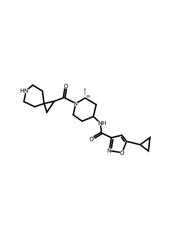 C[C@@H]1CC(NC(=O)c2cc(C3CC3)on2)CCN1C(=O)C1CC12CCNCC2